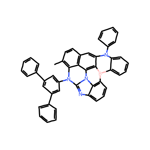 Cc1ccc2cc3c4c5c2c1n(-c1cc(-c2ccccc2)cc(-c2ccccc2)c1)c1nc2cccc(c2n51)B4c1ccccc1N3c1ccccc1